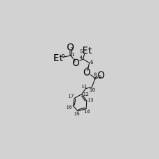 CCC(=O)OC(CC)COC(=O)CCc1ccccc1